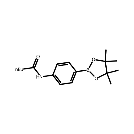 CCCCC(=O)Nc1ccc(B2OC(C)(C)C(C)(C)O2)cc1